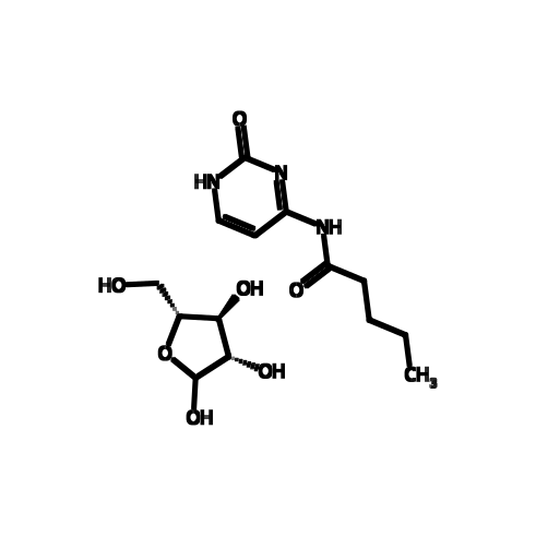 CCCCC(=O)Nc1cc[nH]c(=O)n1.OC[C@H]1OC(O)[C@@H](O)[C@@H]1O